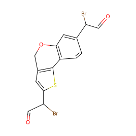 O=CC(Br)c1ccc2c(c1)OCc1cc(C(Br)C=O)sc1-2